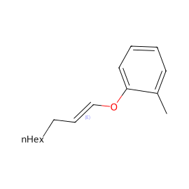 CCCCCCC/C=C/Oc1ccccc1C